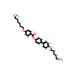 C=CCCCCCOc1ccc(C(=O)Oc2ccc(-c3ccc(OCCCCCC)cc3)cc2)cc1